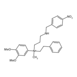 COc1ccc([N+](C)(CCCNCc2ccc([N+](=O)[O-])cc2)CCc2ccccc2)cc1OC